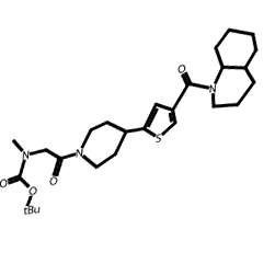 CN(CC(=O)N1CCC(c2cc(C(=O)N3CCCC4CCCCC43)cs2)CC1)C(=O)OC(C)(C)C